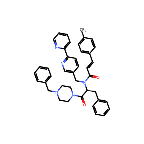 O=C([C@H](Cc1ccccc1)N(Cc1ccc(-c2ccccn2)nc1)C(=O)/C=C/c1ccc(C(F)(F)F)cc1)N1CCN(Cc2ccccc2)CC1